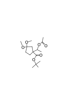 COC1(OC)CCC(C(=O)OC(C)(C)C)(C(C)OC(C)=O)C1